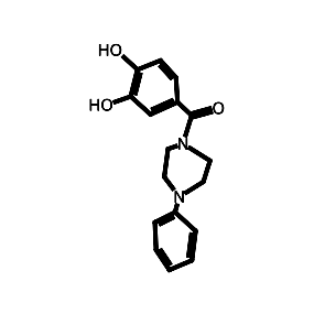 O=C(c1ccc(O)c(O)c1)N1CCN(c2ccccc2)CC1